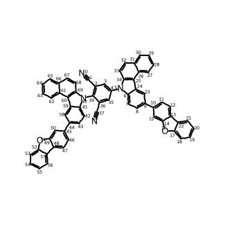 N#Cc1cc(-n2c3ccc(-c4ccc5c(c4)oc4ccccc45)cc3c3c4ccccc4ccc32)cc(C#N)c1-n1c2ccc(-c3ccc4c(c3)oc3ccccc34)cc2c2c3ccccc3ccc21